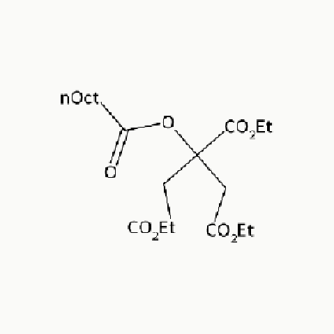 CCCCCCCCC(=O)OC(CC(=O)OCC)(CC(=O)OCC)C(=O)OCC